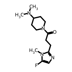 CN(C)C1CCN(C(=O)CCc2ncc(F)n2C)CC1